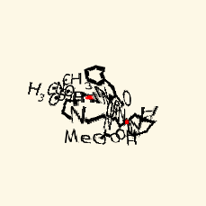 CNC1C(S(=O)(=O)N(C)C)CCN1CCN(CC(O)CN1[C@@H]2CC[C@H]1CC(NC(=O)c1cc3ccccc3n(C(C)C)c1=O)C2)C(=O)OC